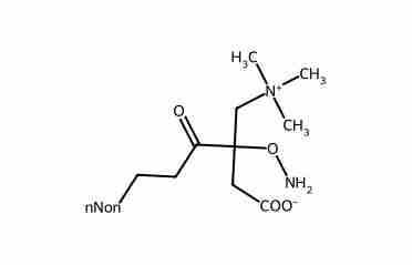 CCCCCCCCCCCC(=O)C(CC(=O)[O-])(C[N+](C)(C)C)ON